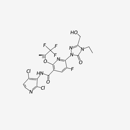 CCn1c(CO)nn(-c2nc(O[C@@H](C)C(F)(F)F)c(C(=O)Nc3c(Cl)ccnc3Cl)cc2F)c1=O